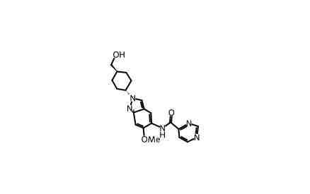 COc1cc2nn([C@H]3CC[C@H](CO)CC3)cc2cc1NC(=O)c1ccncn1